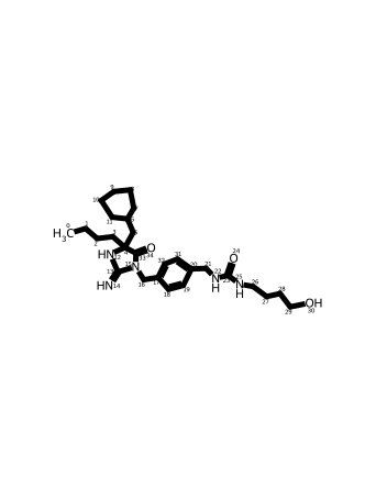 CCCCC1(CC2CCCCC2)NC(=N)N(Cc2ccc(CNC(=O)NCCCCO)cc2)C1=O